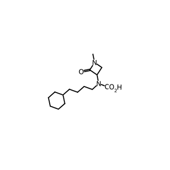 CN1CC(N(CCCCC2CCCCC2)C(=O)O)C1=O